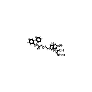 CCCCCCC=C(O)[C@@H]1[C@@H]2C[C@@H](CCOCC(=O)N(Cc3ccccc3)c3ccccc3)C[C@H]2C[C@H]1O